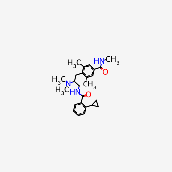 CNC(=O)c1cc(C)c(CC(CNC(=O)c2ccccc2C2CC2)N(C)C)c(C)c1